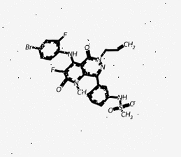 C=CCn1nc(-c2cccc(NS(C)(=O)=O)c2)c2c(c(Nc3ccc(Br)cc3F)c(F)c(=O)n2C)c1=O